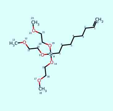 C=CCCCCCC[Si](OCCOC)(OCCOC)OCCOC